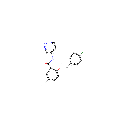 O=C(Nc1ccnnc1)c1cc(Br)ccc1OCc1ccc(F)cc1